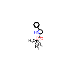 CC(C)(C)OC(=O)[C@@H]1CCC(c2ccccc2)N1